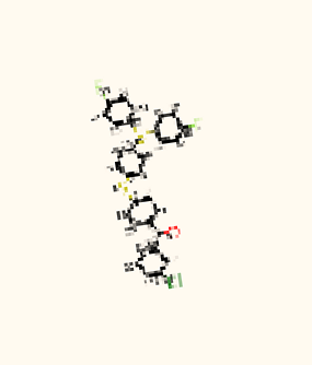 O=C(c1ccc(Sc2ccc([S+](c3ccc(F)cc3)c3ccc(F)cc3)cc2)cc1)c1cccc(Cl)c1